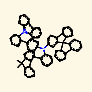 CC1(C)c2ccccc2-c2c(-c3ccccc3N(c3ccc(-c4ccccc4-n4c5ccccc5c5ccccc54)cc3)c3ccc4c(c3)C3(c5ccccc5-c5ccccc53)c3ccccc3-4)cccc21